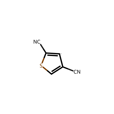 N#Cc1[c]c(C#N)sc1